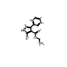 CCOC(=O)c1c(-c2cnccn2)n[nH]c1Cl